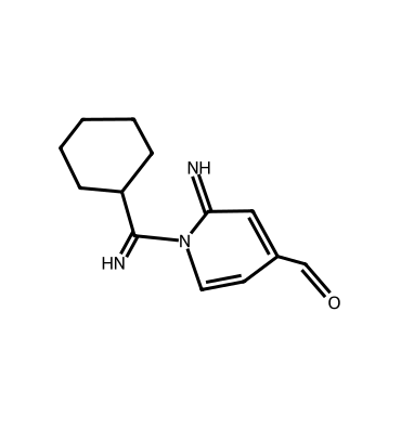 N=C(C1CCCCC1)n1ccc(C=O)cc1=N